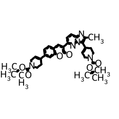 Cc1nc2ccc(-c3cc4ccc(C5=CCN(C(=O)OC(C)(C)C)CC5)cc4oc3=O)nn2c1C1=CCN(C(=O)OC(C)(C)C)CC1